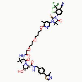 Cc1cc(N2C(=S)N(c3ccc(C#N)c(C(F)(F)F)c3F)C(=O)C2(C)C)cnc1OCCCCOCCCOCC(=O)N[C@H](C(=O)N1C[C@H](O)C[C@H]1C(=O)NCc1ccc(-c2scnc2C)cc1)C(C)(C)C